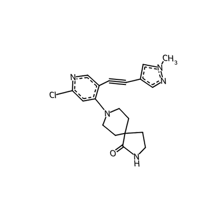 Cn1cc(C#Cc2cnc(Cl)cc2N2CCC3(CCNC3=O)CC2)cn1